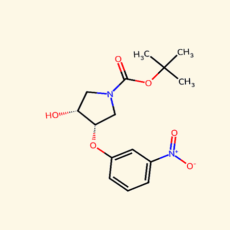 CC(C)(C)OC(=O)N1C[C@@H](O)[C@@H](Oc2cccc([N+](=O)[O-])c2)C1